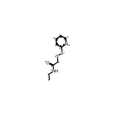 CCNC(=O)CSSc1ccccn1